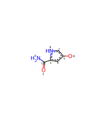 NC(=O)c1cc([O])c[nH]1